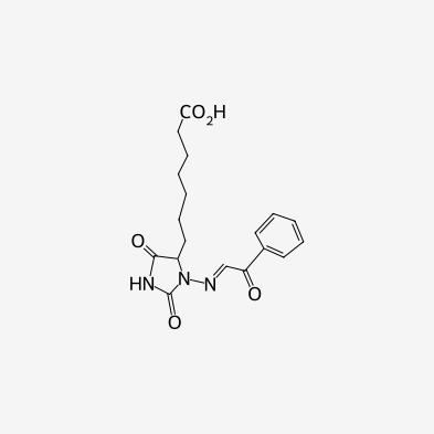 O=C(O)CCCCCCC1C(=O)NC(=O)N1N=CC(=O)c1ccccc1